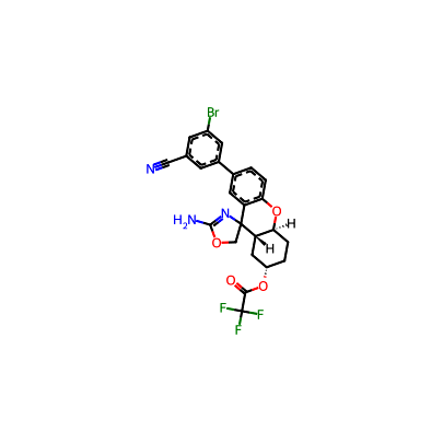 N#Cc1cc(Br)cc(-c2ccc3c(c2)C2(COC(N)=N2)[C@H]2C[C@@H](OC(=O)C(F)(F)F)CC[C@@H]2O3)c1